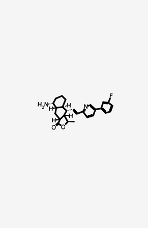 C[C@H]1OC(=O)[C@@H]2C[C@H]3[C@@H](CCC[C@H]3N)[C@H](/C=C/c3ccc(-c4cccc(F)c4)cn3)[C@H]12